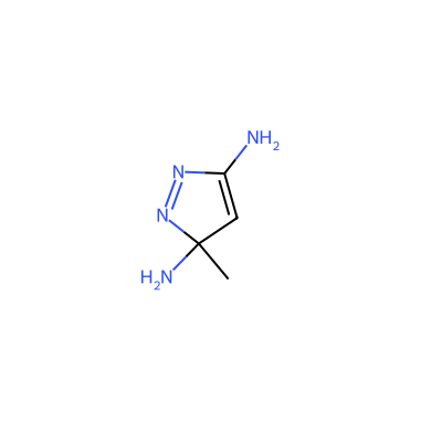 CC1(N)C=C(N)N=N1